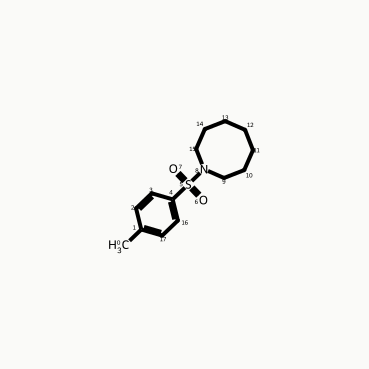 Cc1ccc(S(=O)(=O)N2CCCCCCC2)cc1